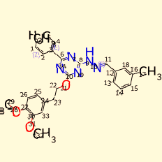 C/C=C\C(=C/C)c1nc(N/N=C/c2cccc(C)c2)nc(OCCc2ccc(OC)c(OC)c2)n1